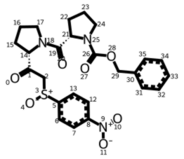 O=C(C[S+]([O-])c1ccc([N+](=O)[O-])cc1)[C@@H]1CCCN1C(=O)[C@@H]1CCCN1C(=O)OCc1ccccc1